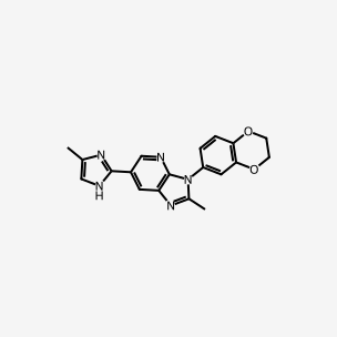 Cc1c[nH]c(-c2cnc3c(c2)nc(C)n3-c2ccc3c(c2)OCCO3)n1